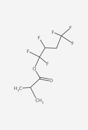 CC(C)C(=O)OC(F)(F)C(F)CC(F)(F)F